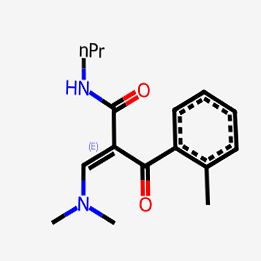 CCCNC(=O)/C(=C/N(C)C)C(=O)c1ccccc1C